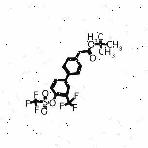 CC(C)(C)OC(=O)Cc1ccc(-c2ccc(OS(=O)(=O)C(F)(F)F)c(C(F)(F)F)c2)cc1